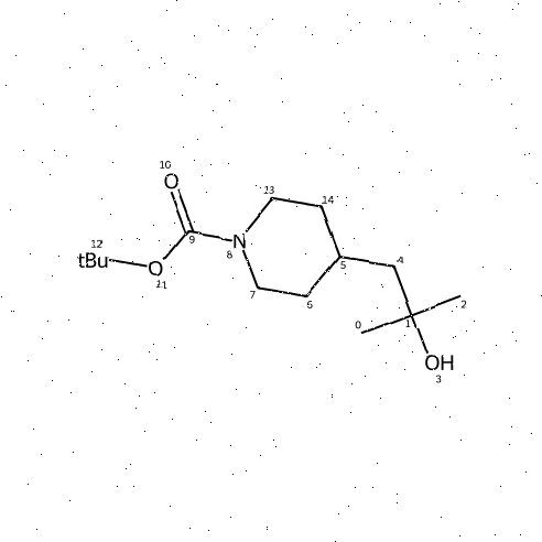 CC(C)(O)CC1CCN(C(=O)OC(C)(C)C)CC1